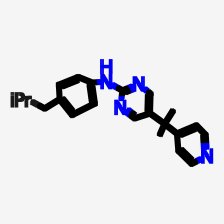 CC(C)Cc1ccc(Nc2ncc(C(C)(C)c3ccncc3)cn2)cc1